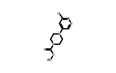 CC(C)(C)OC(=O)N1CCN(c2cnnc(Cl)c2)CC1